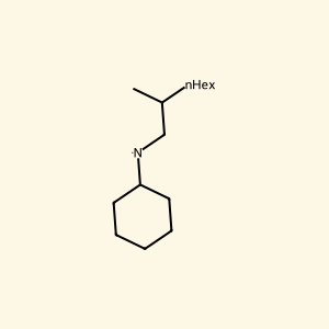 CCCCCCC(C)C[N]C1CCCCC1